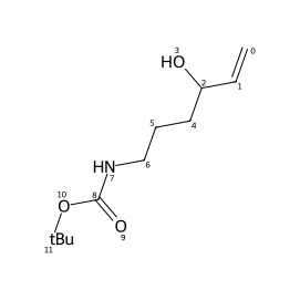 C=CC(O)CCCNC(=O)OC(C)(C)C